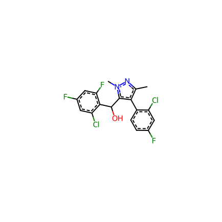 Cc1nn(C)c(C(O)c2c(F)cc(F)cc2Cl)c1-c1ccc(F)cc1Cl